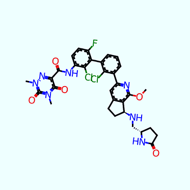 COc1nc(-c2cccc(-c3c(F)ccc(NC(=O)c4nn(C)c(=O)n(C)c4=O)c3Cl)c2Cl)cc2c1[C@@H](NC[C@@H]1CCC(=O)N1)CC2